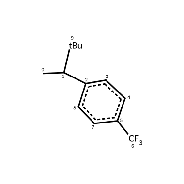 CC(c1ccc(C(F)(F)F)cc1)C(C)(C)C